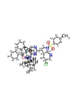 Cc1ccc(S(=O)(=O)n2cc(-c3ncc(F)c(N[C@@H]4[C@@H](CO[Si](c5ccccc5)(c5ccccc5)C(C)(C)C)C[C@H]5C[C@H]4C5(C)C)n3)c3cc(Cl)cnc32)cc1